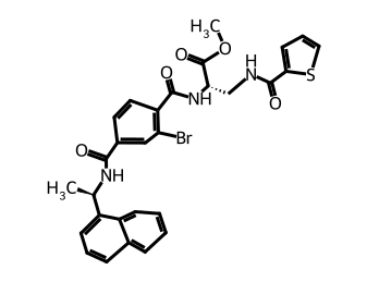 COC(=O)[C@H](CNC(=O)c1cccs1)NC(=O)c1ccc(C(=O)N[C@H](C)c2cccc3ccccc23)cc1Br